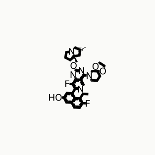 CCc1c(F)ccc2cc(O)cc(-c3ncc4c(N5CCCC6(C5)OCCO6)nc(OC[C@@]56CCCN5C[C@H](C)C6)nc4c3F)c12